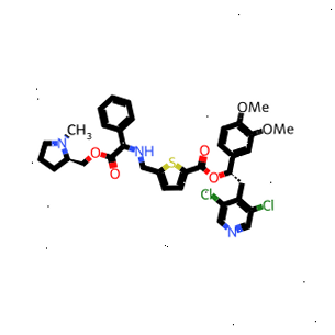 COc1ccc([C@H](Cc2c(Cl)cncc2Cl)OC(=O)c2ccc(CNC(C(=O)OC[C@H]3CCCN3C)c3ccccc3)s2)cc1OC